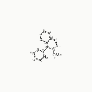 COc1n[c]c2ccccc2c1-c1cnccn1